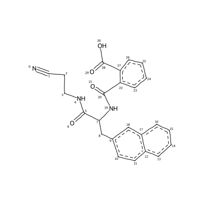 N#CCCNC(=O)C(Cc1ccc2ccccc2c1)NC(=O)c1ccccc1C(=O)O